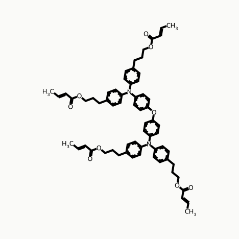 C/C=C/C(=O)OCCCc1ccc(N(c2ccc(CCCOC(=O)/C=C/C)cc2)c2ccc(Oc3ccc(N(c4ccc(CCCOC(=O)/C=C/C)cc4)c4ccc(CCCOC(=O)/C=C/C)cc4)cc3)cc2)cc1